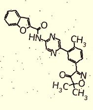 Cc1ccc(C2=NOC(C)(C)C2=O)cc1-c1cnc(NC(=O)c2cc3ccccc3o2)cn1